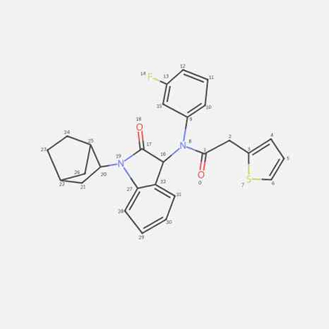 O=C(Cc1cccs1)N(c1cccc(F)c1)C1C(=O)N(C2CC3CCC2C3)c2ccccc21